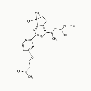 CN(C)CCOc1ccnc(-c2nc(N(C)CC(O)NC(C)(C)C)c3c(n2)C(C)(C)CC3)c1